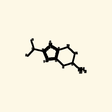 CC(C)c1nc2c(s1)CC(N)CC2